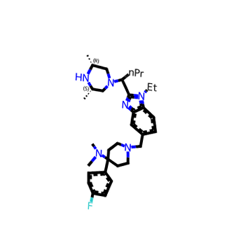 CCCC(c1nc2cc(CN3CCC(c4ccc(F)cc4)(N(C)C)CC3)ccc2n1CC)N1C[C@@H](C)N[C@@H](C)C1